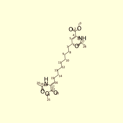 COC(=O)C(=CCCCCCCCCCCC=C(NC(C)=O)C(=O)OC)NC(C)=O